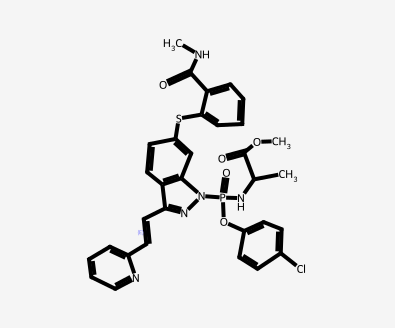 CNC(=O)c1ccccc1Sc1ccc2c(/C=C/c3ccccn3)nn(P(=O)(NC(C)C(=O)OC)Oc3ccc(Cl)cc3)c2c1